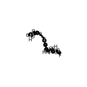 O=C1CCC(N2Cc3cc(OCCCCN4CCC(c5ccc(-c6cnc7[nH]cc(C(=O)c8c(F)ccc(NS(=O)(=O)N9CC[C@@H](F)C9)c8F)c7c6)cc5)CC4)ccc3C2=O)C(=O)N1